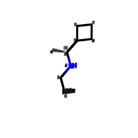 CNCN[C@H](C)C1CCC1